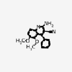 COc1ccc2nc(N)c(C#N)c(-c3ccccc3)c2c1OC